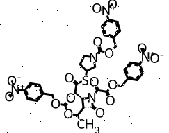 C[C@@H](OC(=O)OCc1ccc([N+](=O)[O-])cc1)[C@H]1C(=O)N(C(=O)C(=O)OCc2ccc([N+](=O)[O-])cc2)[C@@H]1CC(=O)SC1CCN(C(=O)OCc2ccc([N+](=O)[O-])cc2)C1